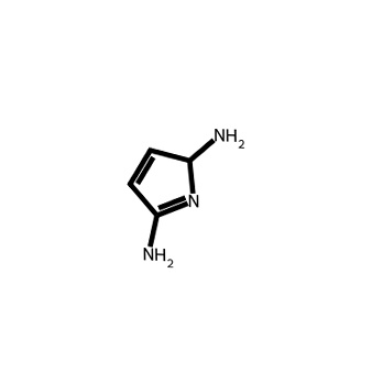 NC1=NC(N)C=C1